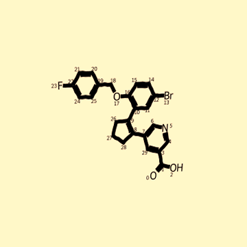 O=C(O)c1cncc(C2=C(c3cc(Br)ccc3OCc3ccc(F)cc3)CCC2)c1